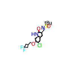 CC(C)(C)[S+]([O-])/N=C/c1cc2cc(Cl)c(OCC3CC(F)(F)C3)cc2[nH]c1=O